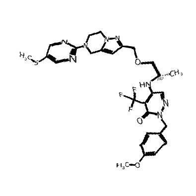 COc1ccc(Cn2ncc(N[C@@H](C)COCc3cc4n(n3)CCN(c3ncc(SC)cn3)C4)c(C(F)(F)F)c2=O)cc1